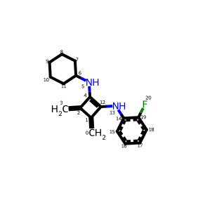 C=C1C(=C)C(NC2CCCCC2)=C1Nc1ccccc1F